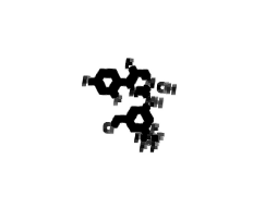 Cl.Fc1ccc(-c2nc(Nc3cc(CCl)cc(S(F)(F)(F)(F)F)c3)ncc2F)c(F)c1